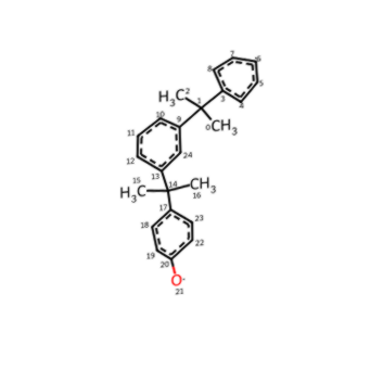 CC(C)(c1cc[c]cc1)c1cccc(C(C)(C)c2ccc([O])cc2)c1